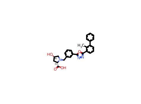 Cc1c(-c2ccccc2)cccc1-c1nnc(-c2cccc(CN3C[C@H](O)C[C@H]3C(=O)O)c2)o1